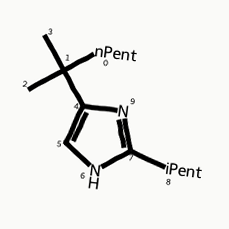 CCCCCC(C)(C)c1c[nH]c(C(C)CCC)n1